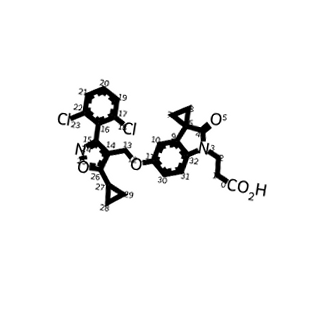 O=C(O)CCN1C(=O)C2(CC2)c2cc(OCc3c(-c4c(Cl)cccc4Cl)noc3C3CC3)ccc21